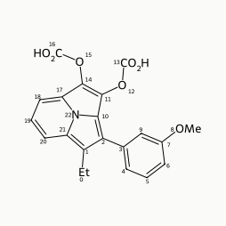 CCc1c(-c2cccc(OC)c2)c2c(OC(=O)O)c(OC(=O)O)c3cccc1n32